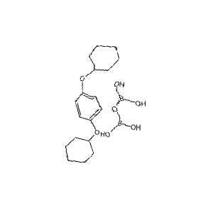 OB(O)OB(O)O.c1cc(OC2CCCCC2)ccc1OC1CCCCC1